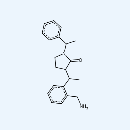 CC(c1ccccc1CN)C1CCN(C(C)c2ccccc2)C1=O